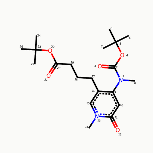 CN(C(=O)OC(C)(C)C)c1cc(=O)n(C)cc1CCCC(=O)OC(C)(C)C